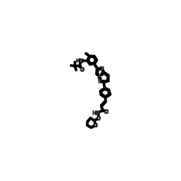 Cc1ccc(-c2cn3nc(-c4ccc(C=CC(=O)NOC5CCCCO5)cc4)ccc3n2)cc1NC(=O)C(C)(C)C